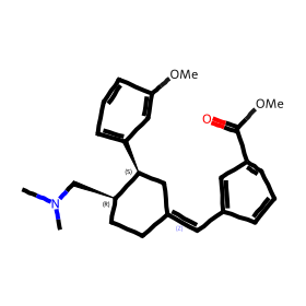 COC(=O)c1cccc(/C=C2/CC[C@@H](CN(C)C)[C@@H](c3cccc(OC)c3)C2)c1